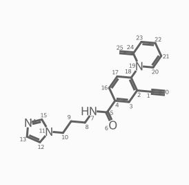 C#Cc1cc(C(=O)NCCCn2ccnc2)ccc1N1C=CC=CC1=C